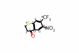 O=C1CCSc2cc(C(F)(F)F)c([N+](=O)[O-])cc21